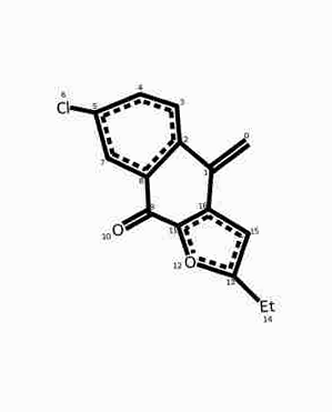 C=C1c2ccc(Cl)cc2C(=O)c2oc(CC)cc21